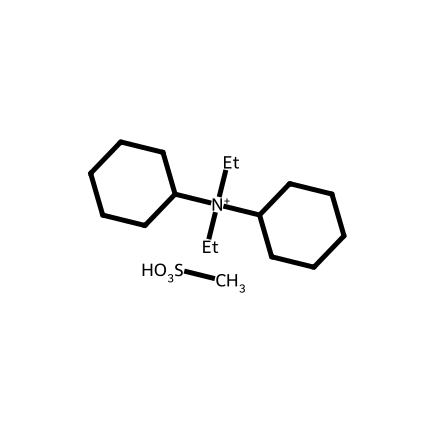 CC[N+](CC)(C1CCCCC1)C1CCCCC1.CS(=O)(=O)O